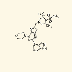 C[C@@H]1CN(Cc2cc3nc(-c4cccc5[nH]ncc45)nc(N4CCOCC4)c3s2)C[C@H](C)N1S(C)(=O)=O